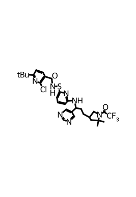 CC(C)(C)c1ccc(C(=O)NSc2cccc(NC(CCC3CN(C(=O)C(F)(F)F)C(C)(C)C3)c3cncnc3)n2)c(Cl)n1